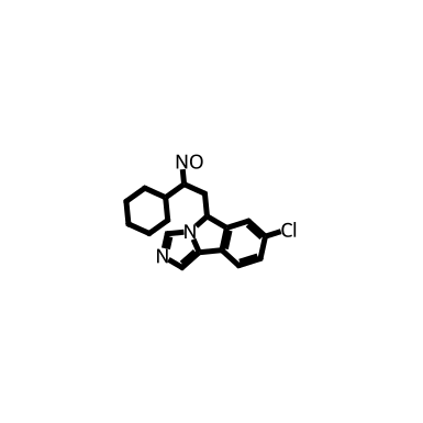 O=NC(CC1c2cc(Cl)ccc2-c2cncn21)C1CCCCC1